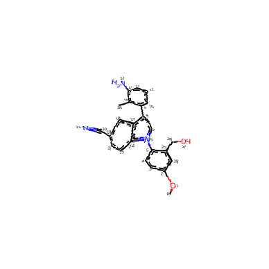 COc1ccc(-n2cc(-c3cccc(N)c3C)c3cc(C#N)ccc32)c(CO)c1